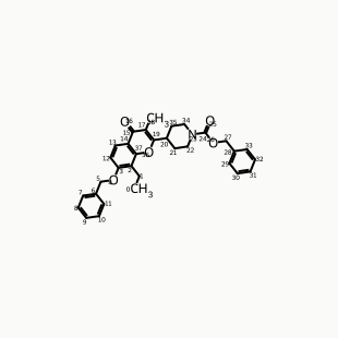 CCc1c(OCc2ccccc2)ccc2c(=O)c(C)c(C3CCN(C(=O)OCc4ccccc4)CC3)oc12